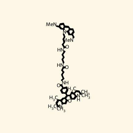 CNCc1ccc2cc3ccc(CNC)cc3[n+](CCCCCC(=O)NCCCCCNC(=O)CCCCCNC(=O)c3ccc(C4=c5cc6c(cc5Oc5cc7c(cc54)C(C)=CC(C)(C)N7)=NC(C)(C)C=C6C)cc3)c2c1